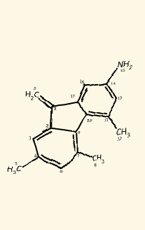 C=C1c2cc(C)cc(C)c2-c2c(C)cc(N)cc21